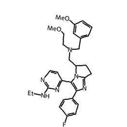 CCNc1nccc(-c2c(-c3ccc(F)cc3)nc3n2C(CN(CCOC)Cc2cccc(OC)c2)CC3)n1